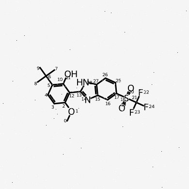 COc1ccc(C(C)(C)C)c(O)c1-c1nc2cc(S(=O)(=O)C(F)(F)F)ccc2[nH]1